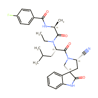 CCN(C(=O)[C@H](C)NC(=O)c1ccc(F)cc1)[C@@H](CC(C)C)C(=O)N1C[C@]2(C[C@H]1C#N)C(=O)Nc1ccccc12